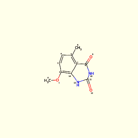 COc1ccc(C)c2c(=O)[nH]c(=O)[nH]c12